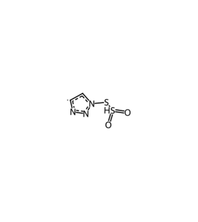 O=[SH](=O)Sn1c[c]nn1